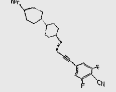 CCC[C@H]1CC[C@H](C2CCC(/C=C/C#Cc3cc(F)c(C#N)c(F)c3)CC2)CC1